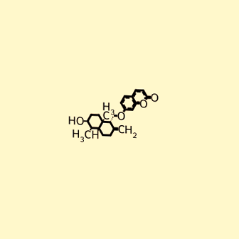 C=C1CC[C@@H]2[C@@H](C)[C@@H](O)CC[C@@]2(C)[C@@H]1COc1ccc2ccc(=O)oc2c1